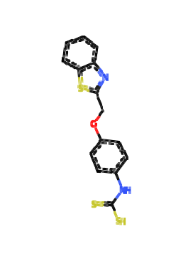 S=C(S)Nc1ccc(OCc2nc3ccccc3s2)cc1